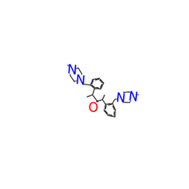 CC(C(=O)C(C)c1ccccc1CN1CCN(C)CC1)c1ccccc1CN1CCN(C)CC1